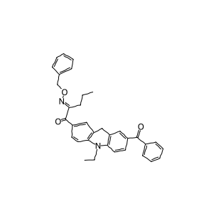 CCC/C(=N\OCc1ccccc1)C(=O)c1ccc2c(c1)Cc1cc(C(=O)c3ccccc3)ccc1N2CC